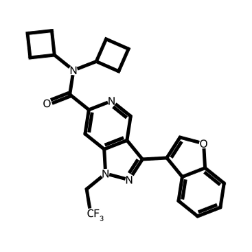 O=C(c1cc2c(cn1)c(-c1coc3ccccc13)nn2CC(F)(F)F)N(C1CCC1)C1CCC1